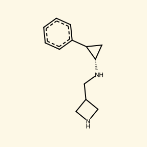 c1ccc(C2C[C@@H]2NCC2CNC2)cc1